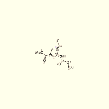 COC(=O)C1=C[C@H](NC(=O)OC(C)(C)C)/C(=C/F)C1